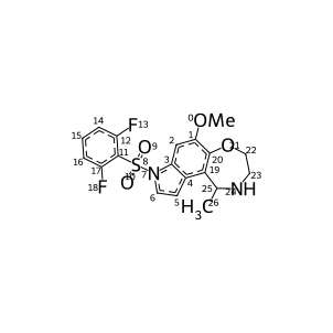 COc1cc2c(ccn2S(=O)(=O)c2c(F)cccc2F)c2c1OCCNC2C